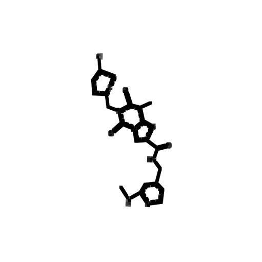 CNc1cc(CNC(=O)c2cn3c(=O)n(Cc4ccc(Cl)cc4)c(=O)c(C)c3s2)ccn1